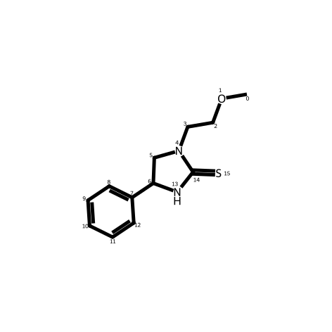 COCCN1CC(c2ccccc2)NC1=S